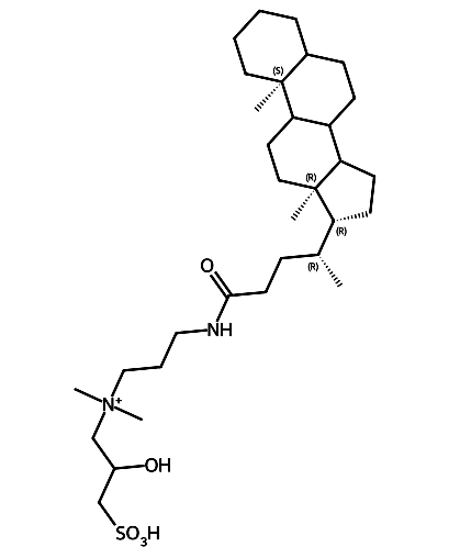 C[C@H](CCC(=O)NCCC[N+](C)(C)CC(O)CS(=O)(=O)O)[C@H]1CCC2C3CCC4CCCC[C@]4(C)C3CC[C@@]21C